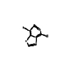 Fc1cnc(Cl)c2ccoc12